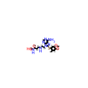 Cc1cc2c(cc1Sc1nc3c(N)ncnc3n1CCNCCC(=O)NO)OCO2